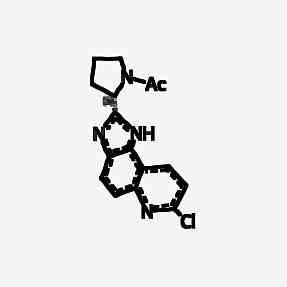 CC(=O)N1CCC[C@H]1c1nc2ccc3nc(Cl)ccc3c2[nH]1